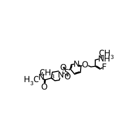 CNC/C(=C\F)COc1ccc(S(=O)(=O)N2CCC(C(=O)N(C)C)CC2)cn1